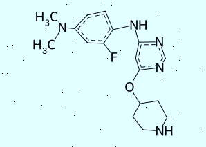 CN(C)c1ccc(Nc2cc(OC3CCNCC3)ncn2)c(F)c1